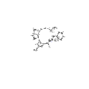 Cc1cc2cc(n1)-c1nnn(C)c1OCCC[C@@H](C)CN1/C(=N/C2=O)Nc2ccccc21